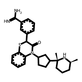 C[C@H]1CCC[C@](C)(C2CCC(N3C(=O)C(c4cccc(C(=N)N)c4)Sc4ccccc43)C2)N1